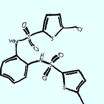 O=S(=O)(Nc1ccccc1NS(=O)(=O)c1ccc(Cl)s1)c1ccc(Cl)s1